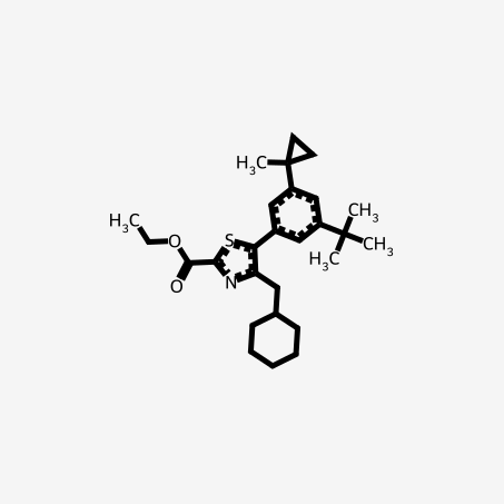 CCOC(=O)c1nc(CC2CCCCC2)c(-c2cc(C(C)(C)C)cc(C3(C)CC3)c2)s1